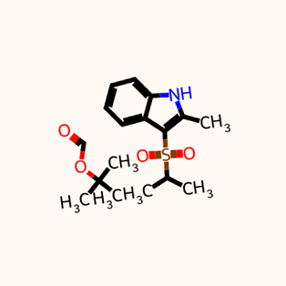 CC(C)(C)OC=O.Cc1[nH]c2ccccc2c1S(=O)(=O)C(C)C